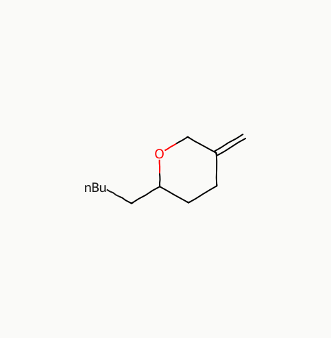 C=C1CCC(CCCCC)OC1